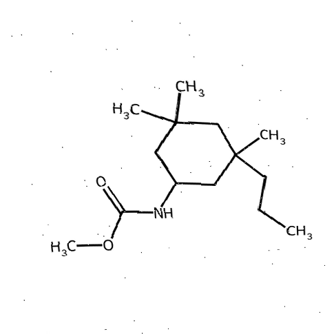 CCCC1(C)CC(NC(=O)OC)CC(C)(C)C1